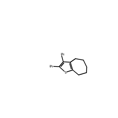 CC(C)c1sc2c(c1C(C)C)CCCCC2